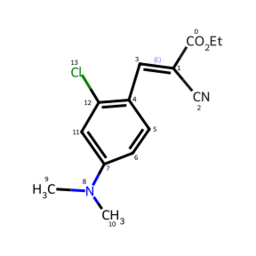 CCOC(=O)/C(C#N)=C/c1ccc(N(C)C)cc1Cl